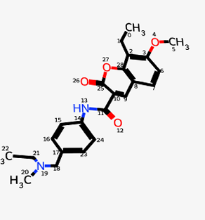 CCc1c(OC)ccc2cc(C(=O)Nc3ccc(CN(C)CC)cc3)c(=O)oc12